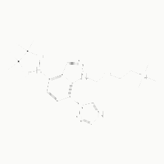 CC1(C)OB(c2ccc(-n3cncn3)c3c2cnn3COCC[Si](C)(C)C)OC1(C)C